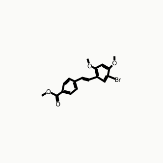 COC(=O)c1ccc(C=Cc2cc(Br)c(OC)cc2OC)cc1